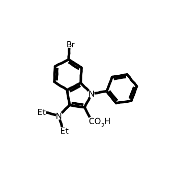 CCN(CC)c1c(C(=O)O)n(-c2ccccc2)c2cc(Br)ccc12